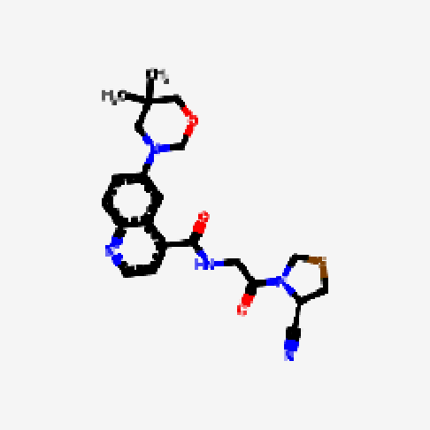 CC1(C)COCN(c2ccc3nccc(C(=O)NCC(=O)N4CSC[C@H]4C#N)c3c2)C1